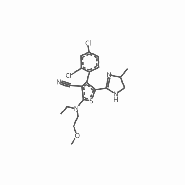 CCN(CCOC)c1sc(C2=NC(C)CN2)c(-c2ccc(Cl)cc2Cl)c1C#N